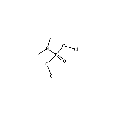 CN(C)P(=O)(OCl)OCl